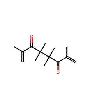 C=C(C)C(=O)C(C)(C)C(C)(C)C(=O)C(=C)C